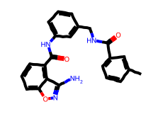 Cc1cccc(C(=O)NCc2cccc(NC(=O)c3cccc4onc(N)c34)c2)c1